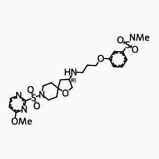 CNS(=O)(=O)c1cccc(OCCCN[C@H]2COC3(CCN(S(=O)(=O)c4nccc(OC)n4)CC3)C2)c1